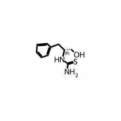 NC(=S)N[C@@H](CO)Cc1ccccc1